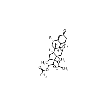 CC(=O)OCC(=O)[C@]1(OC(C)=O)[C@@H](C)C[C@H]2[C@@H]3C[C@H](F)C4=CC(=O)CC[C@]4(C)C34O[C@H]4C[C@@]21C